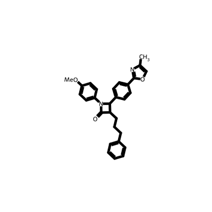 COc1ccc(N2C(=O)C(CCCc3ccccc3)C2c2ccc(-c3nc(C)co3)cc2)cc1